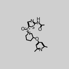 CC(=O)Nc1ncc([S+]([O-])N2CCCC(Oc3cc(C)nc(C)c3)C2)s1